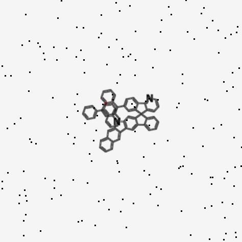 c1ccc(-c2c3ccccc3c(-c3ccc4c(c3)C3(c5ccccc5-c5cc6c7cc8ccccc8cc7n(-c7ccccc7)c6cc53)c3cccnc3-4)c3ccccc23)cc1